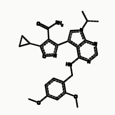 COc1ccc(CNc2ncnc3c2c(-c2noc(C4CC4)c2C(N)=O)cn3C(C)C)c(OC)c1